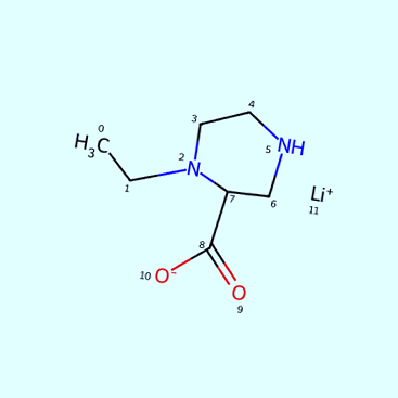 CCN1CCNCC1C(=O)[O-].[Li+]